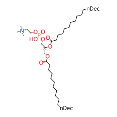 CCCCCCCCCCCCCCCCCCCCC(=O)OC[C@H](COP(=O)(O)OCC[N+](C)(C)C)OC(=O)CCCCCCCCCCCCCCCCCCCC